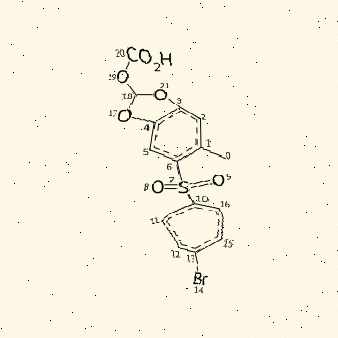 Cc1cc2c(cc1S(=O)(=O)c1ccc(Br)cc1)OC(OC(=O)O)O2